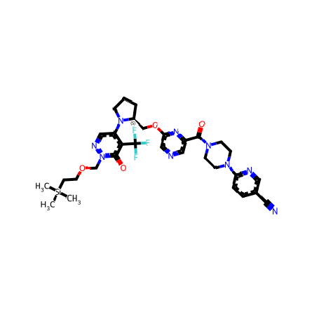 C[Si](C)(C)CCOCn1ncc(N2CCC[C@H]2COc2cncc(C(=O)N3CCN(c4ccc(C#N)cn4)CC3)n2)c(C(F)(F)F)c1=O